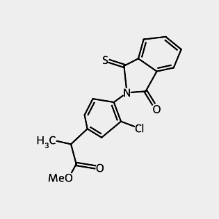 COC(=O)C(C)c1ccc(N2C(=O)c3ccccc3C2=S)c(Cl)c1